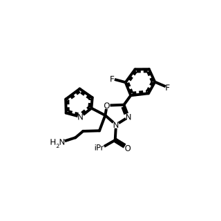 CC(C)C(=O)N1N=C(c2cc(F)ccc2F)OC1(CCCN)c1ccccn1